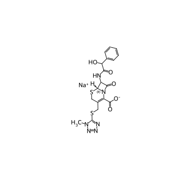 Cn1nnnc1SCC1=C(C(=O)[O-])N2C(=O)C(NC(=O)C(O)c3ccccc3)[C@H]2SC1.[Na+]